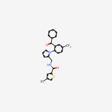 CCc1csc(C(=O)NCc2cccn2-c2ccc(C(F)(F)F)cc2C(=O)c2ccccc2)c1